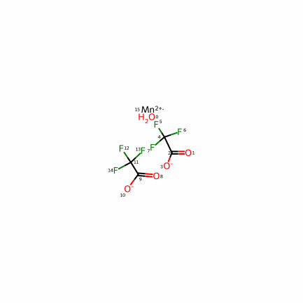 O.O=C([O-])C(F)(F)F.O=C([O-])C(F)(F)F.[Mn+2]